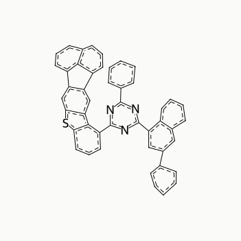 c1ccc(-c2cc(-c3nc(-c4ccccc4)nc(-c4cccc5sc6cc7c(cc6c45)-c4cccc5cccc-7c45)n3)c3ccccc3c2)cc1